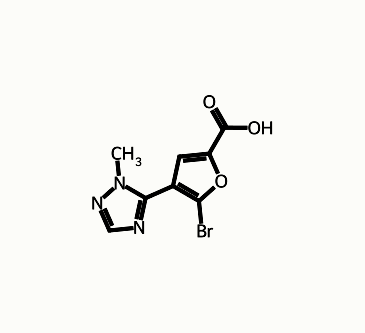 Cn1ncnc1-c1cc(C(=O)O)oc1Br